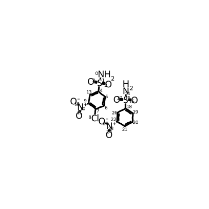 NS(=O)(=O)c1ccc(Cl)c([N+](=O)[O-])c1.NS(=O)(=O)c1cccc([N+](=O)[O-])c1